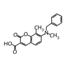 Cc1c(N(C)Cc2ccccc2)ccc2cc(C(=O)O)c(=O)oc12